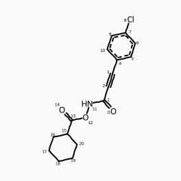 O=C(C#Cc1ccc(Cl)cc1)NOC(=O)C1CCCCC1